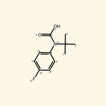 CC(C)(C)N(C(=O)O)c1ccc(F)cc1